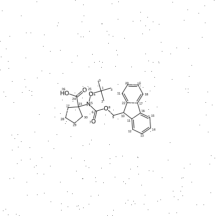 CC(C)(C)ON(C(=O)OCC1c2ccccc2-c2ccccc21)C1(C(=O)O)CCCC1